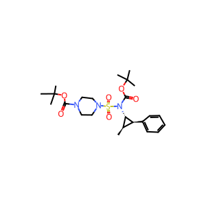 C[C@@H]1[C@H](c2ccccc2)[C@H]1N(C(=O)OC(C)(C)C)S(=O)(=O)N1CCN(C(=O)OC(C)(C)C)CC1